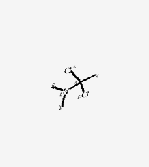 CN(C)C(C)(Cl)Cl